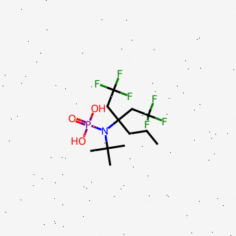 CCCC(CC(F)(F)F)(CC(F)(F)F)N(C(C)(C)C)P(=O)(O)O